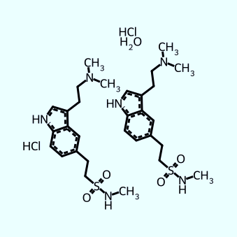 CNS(=O)(=O)CCc1ccc2[nH]cc(CCN(C)C)c2c1.CNS(=O)(=O)CCc1ccc2[nH]cc(CCN(C)C)c2c1.Cl.Cl.O